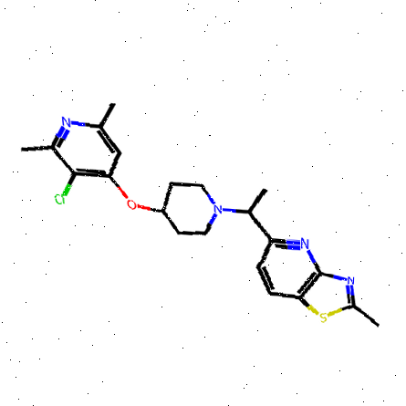 Cc1cc(OC2CCN(C(C)c3ccc4sc(C)nc4n3)CC2)c(Cl)c(C)n1